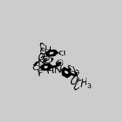 CCOC(=O)c1ccc(NC(=O)c2cc(F)c3c(c2)N(S(=O)(=O)c2cc(Cl)ccc2OC)CCO3)cc1Cl